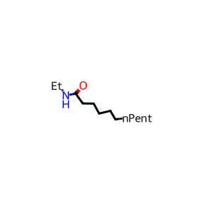 CCCCCCCCCCC(=O)NCC